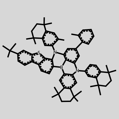 Cc1ccccc1-c1cc2c3c(c1)N(c1cc4c(cc1C)C(C)(C)CCC4(C)C)c1c(ccc4c1sc1cc(C(C)(C)C)ccc14)B3c1cc3c(cc1N2c1ccc2c(c1)C(C)(C)CCC2(C)C)C(C)(C)CCC3(C)C